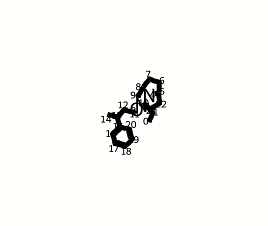 CCC(=O)N1C2CCC1CN(CCC(C)c1ccccc1)CC2